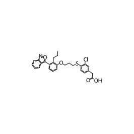 CCCc1c(OCCCSc2ccc(CC(=O)O)cc2Cl)cccc1-c1onc2ccccc12